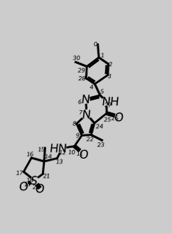 Cc1ccc(-c2nn3cc(C(=O)NCC4(C)CCS(=O)(=O)C4)c(C)c3c(=O)[nH]2)cc1C